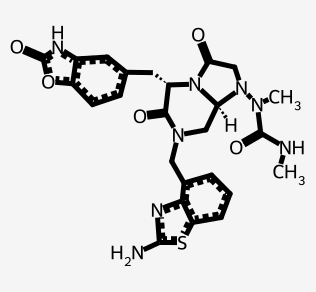 CNC(=O)N(C)N1CC(=O)N2[C@@H](Cc3ccc4oc(=O)[nH]c4c3)C(=O)N(Cc3cccc4sc(N)nc34)C[C@@H]21